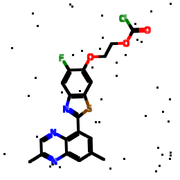 Cc1cc(-c2nc3cc(F)c(OCCOC(=O)Cl)cc3s2)c2ncc(C)nc2c1